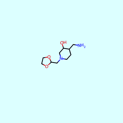 NCC1CCN(CC2OCCO2)CC1O